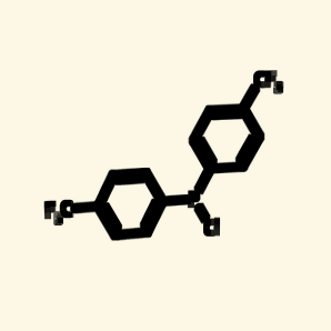 FC(F)(F)c1ccc(P(Cl)c2ccc(C(F)(F)F)cc2)cc1